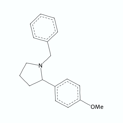 COc1ccc(C2CCCN2Cc2ccccc2)cc1